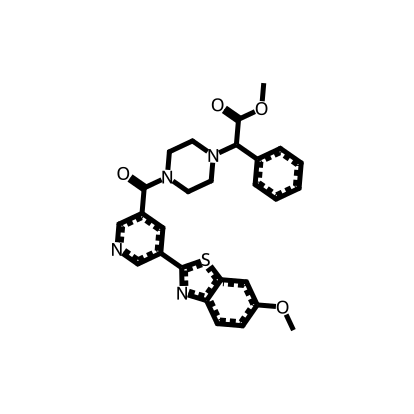 COC(=O)C(c1ccccc1)N1CCN(C(=O)c2cncc(-c3nc4ccc(OC)cc4s3)c2)CC1